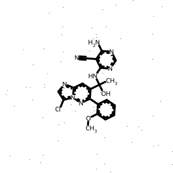 COc1ccccc1-c1nn2c(Cl)cnc2cc1C(C)(O)Nc1ncnc(N)c1C#N